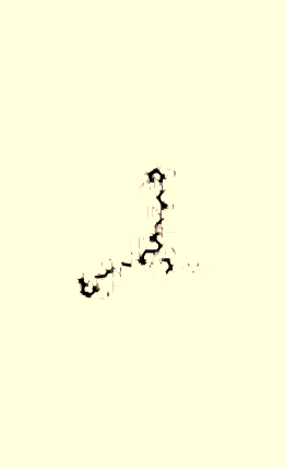 COC(C)C(=O)NC(CC(=O)NCCNC(=O)CCN1C(=O)C=CC1=O)CC(=O)NCCNC(=O)CCN1C(=O)C=CC1=O